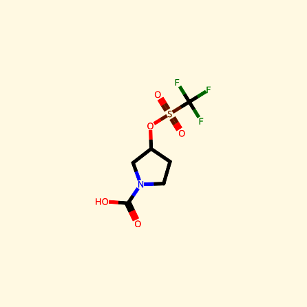 O=C(O)N1CCC(OS(=O)(=O)C(F)(F)F)C1